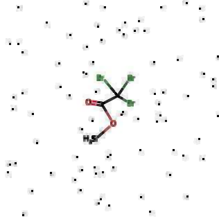 O=C(O[SiH3])C(Br)(Br)Br